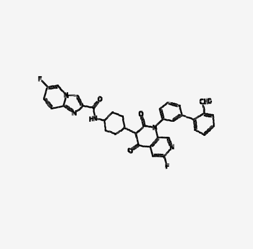 O=Cc1ccccc1-c1cccc(N2C(=O)C(C3CCC(NC(=O)c4cn5cc(F)ccc5n4)CC3)C(=O)c3cc(F)ncc32)c1